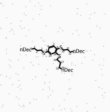 CCCCCCCCCCCCCSc1ccc(SCCCCCCCCCCCCC)c(SCCCCCCCCCCCCC)c1